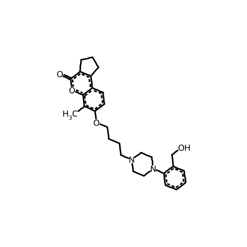 Cc1c(OCCCCN2CCN(c3ccccc3CO)CC2)ccc2c3c(c(=O)oc12)CCC3